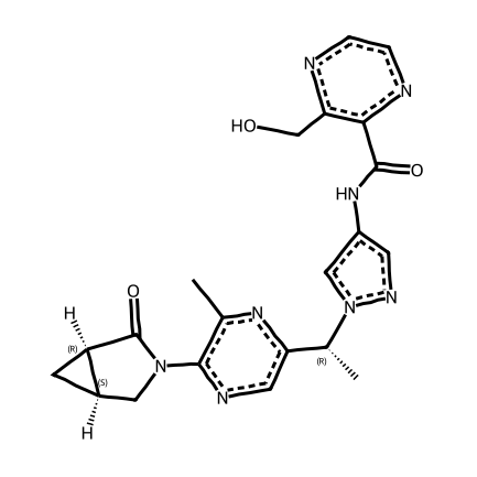 Cc1nc([C@@H](C)n2cc(NC(=O)c3nccnc3CO)cn2)cnc1N1C[C@H]2C[C@H]2C1=O